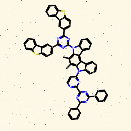 Cc1c(C)c2c(c3ccccc3n2-c2nc(-c3ccc4sc5ccccc5c4c3)nc(-c3ccc4sc5ccccc5c4c3)n2)c2c3ccccc3n(-c3ccnc(-c4nc(-c5ccccc5)nc(-c5ccccc5)n4)n3)c12